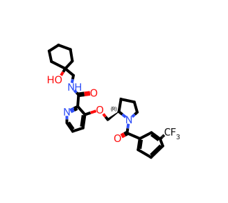 O=C(NCC1(O)CCCCC1)c1ncccc1OC[C@H]1CCCN1C(=O)c1cccc(C(F)(F)F)c1